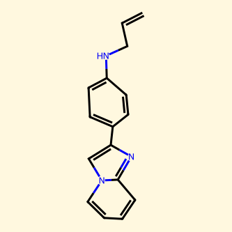 C=CCNc1ccc(-c2cn3ccccc3n2)cc1